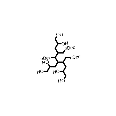 CCCCCCCCCCCC(CC(O)CO)[C](CC(O)CO)C(CCCCCCCCCC)C(CCCCCCCCCCC)CC(O)CO